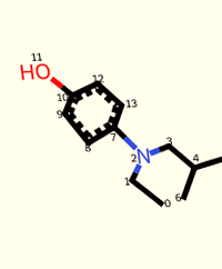 CCN(CC(C)C)c1ccc(O)cc1